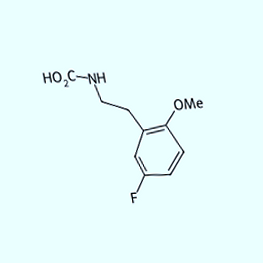 COc1ccc(F)cc1CCNC(=O)O